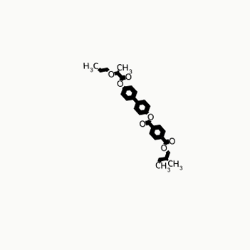 CCCO[C@@H](C)C(=O)Oc1ccc(-c2ccc(OC(=O)c3ccc(C(=O)OC[C@@H](C)CC)cc3)cc2)cc1